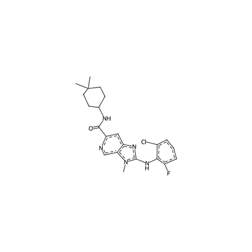 Cn1c(Nc2c(F)cccc2Cl)nc2cc(C(=O)NC3CCC(C)(C)CC3)ncc21